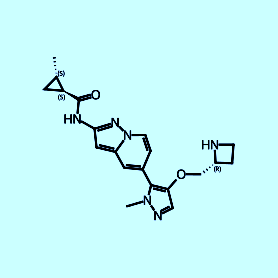 C[C@H]1C[C@@H]1C(=O)Nc1cc2cc(-c3c(OC[C@H]4CCN4)cnn3C)ccn2n1